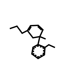 CCCC1=CC=CC(C)(c2ccccc2CC)C1